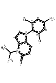 CC(C)n1c(=O)ccc2c1ccn2-c1c(Cl)cc(N)cc1Cl